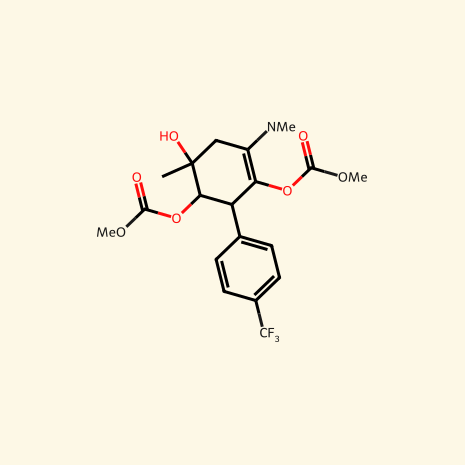 CNC1=C(OC(=O)OC)C(c2ccc(C(F)(F)F)cc2)C(OC(=O)OC)C(C)(O)C1